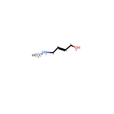 O=C(O)NC/C=C/CO